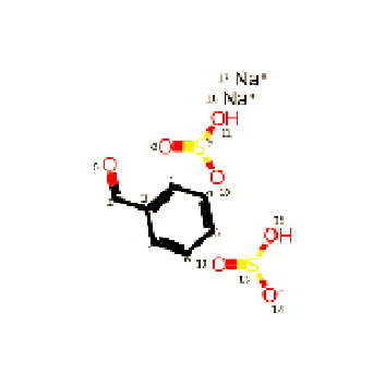 O=Cc1ccccc1.O=S([O-])O.O=S([O-])O.[Na+].[Na+]